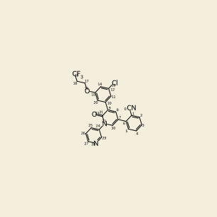 N#Cc1ccccc1-c1cc(-c2cc(Cl)cc(OCCC(F)(F)F)c2)c(=O)n(-c2cccnc2)c1